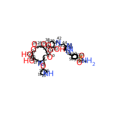 CO[C@]1(C)C[C@@H](C)/C(=N\O[C@@H]2CCCNC2)[C@H](C)[C@@H](O)[C@](C)(O)COC(=O)[C@H](C)C(=O)[C@H](C)[C@H]1O[C@@H]1O[C@H](C)C[C@H](N(C)CCc2cn(Cc3ccc(S(N)(=O)=O)cc3)nn2)[C@H]1O